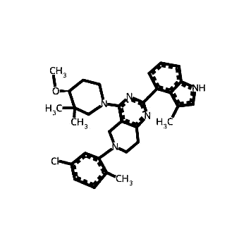 CO[C@H]1CCN(c2nc(-c3cccc4[nH]cc(C)c34)nc3c2CN(c2cc(Cl)ccc2C)CC3)CC1(C)C